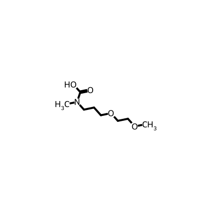 COCCOCCCN(C)C(=O)O